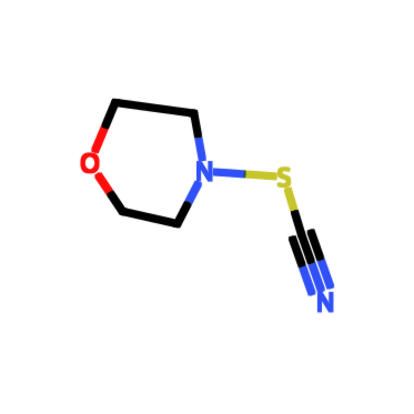 N#CSN1CCOCC1